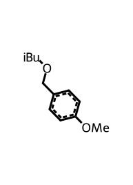 CCC(C)OCc1ccc(OC)cc1